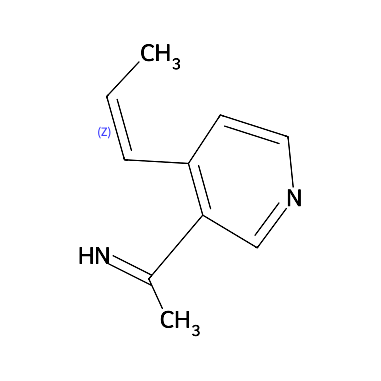 C/C=C\c1ccncc1C(C)=N